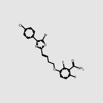 NC(=O)c1c(F)ccc(OCCC=Cc2nc(-c3ccc(Cl)cc3)c(Br)o2)c1F